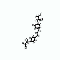 C=C(C)C(=O)Oc1ccc(CCCc2ccc(OC(=O)C(=C)C)cc2)cc1